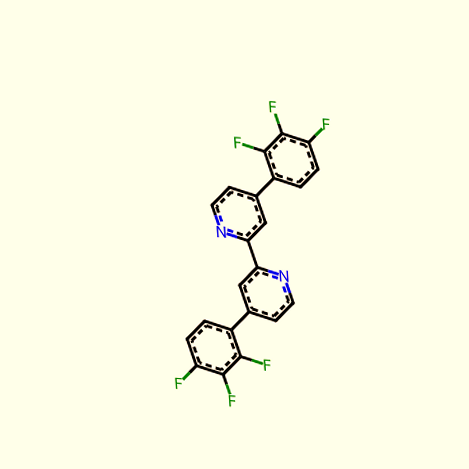 Fc1ccc(-c2ccnc(-c3cc(-c4ccc(F)c(F)c4F)ccn3)c2)c(F)c1F